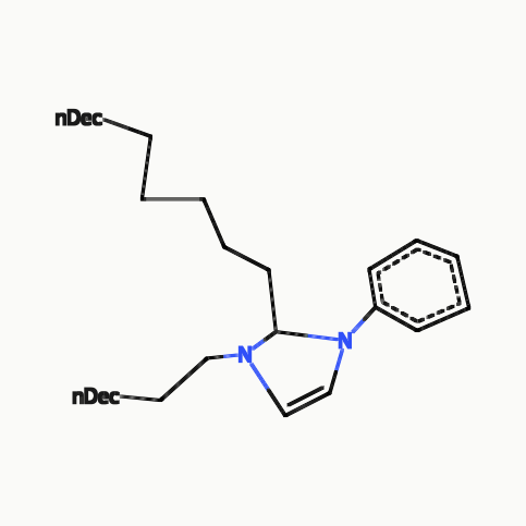 CCCCCCCCCCCCCCCC1N(CCCCCCCCCCCC)C=CN1c1ccccc1